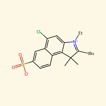 CC[N+]1=C(C(C)(C)C)C(C)(C)c2c1cc(Cl)c1cc(S(=O)(=O)[O-])ccc21